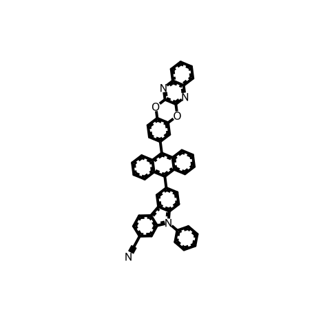 N#Cc1ccc2c3cc(-c4c5ccccc5c(-c5ccc6c(c5)Oc5nc7ccccc7nc5O6)c5ccccc45)ccc3n(-c3ccccc3)c2c1